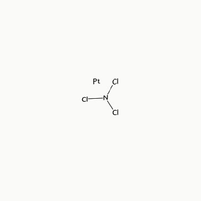 ClN(Cl)Cl.[Pt]